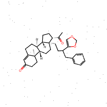 CC(=O)[C@H]1CC[C@H]2[C@@H]3CCC4=CC(=O)CC[C@]4(C)[C@H]3CC[C@]12CCC(Cc1ccccc1)C1=COCO1